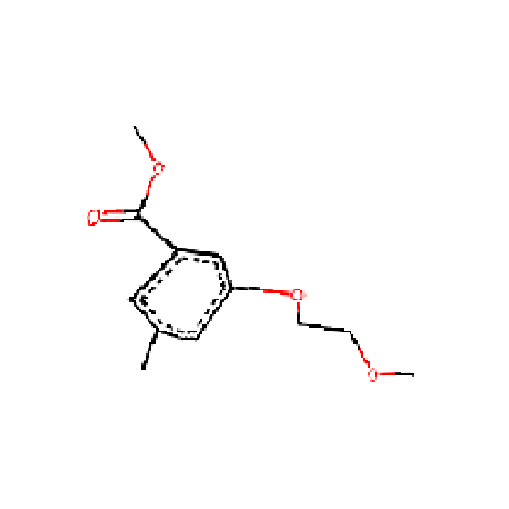 COCCOc1cc(C)cc(C(=O)OC)c1